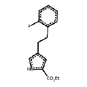 CCOC(=O)c1cc(CCc2ccccc2F)c[nH]1